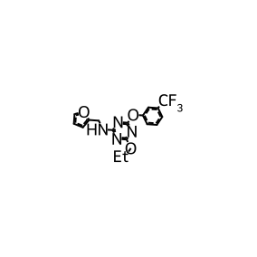 CCOc1nc(NCc2ccco2)nc(Oc2cccc(C(F)(F)F)c2)n1